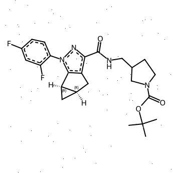 CC(C)(C)OC(=O)N1CCC(CNC(=O)c2nn(-c3ccc(F)cc3F)c3c2C[C@H]2C[C@@H]32)C1